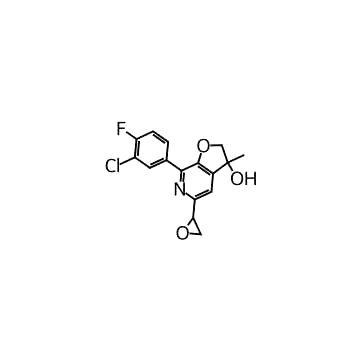 CC1(O)COc2c1cc(C1CO1)nc2-c1ccc(F)c(Cl)c1